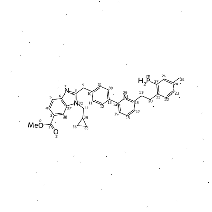 COC(=O)c1ccc2nc(Cc3ccc(-c4cccc(CCc5ccc(C)cc5P)n4)cc3)n(CC3CC3)c2c1